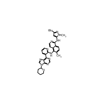 Cc1ccc2c(Nc3cc(C(C)(C)C)nn3C)nccc2c1Nc1ncccc1-c1ncnc2c1ncn2C1CCCCO1